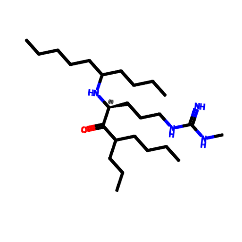 CCCCCC(CCCC)N[C@@H](CCCNC(=N)NC)C(=O)C(CCC)CCCC